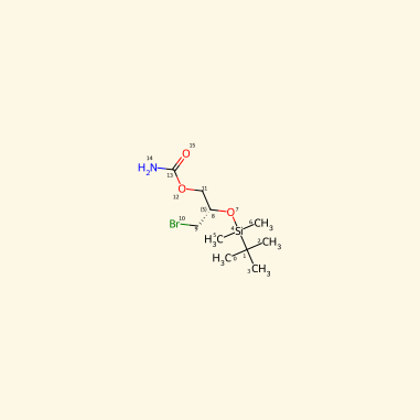 CC(C)(C)[Si](C)(C)O[C@H](CBr)COC(N)=O